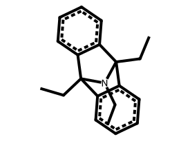 CCN1C2(CC)c3ccccc3C1(CC)c1ccccc12